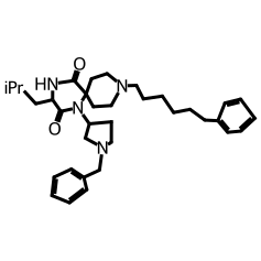 CC(C)CC1NC(=O)C2(CCN(CCCCCCc3ccccc3)CC2)N(C2CCN(Cc3ccccc3)C2)C1=O